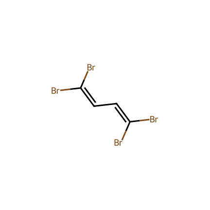 BrC(Br)=CC=C(Br)Br